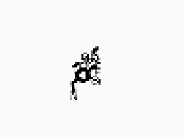 CCOP(=O)(OCC)C(F)(F)c1ccc(CC#N)cc1Br